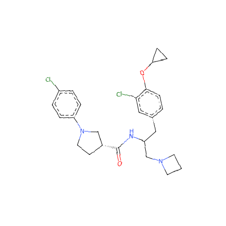 O=C(NC(Cc1ccc(OC2CC2)c(Cl)c1)CN1CCC1)[C@@H]1CCN(c2ccc(Cl)cc2)C1